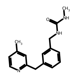 CNC(=O)NCc1cccc(Cc2cc(C)ccn2)c1